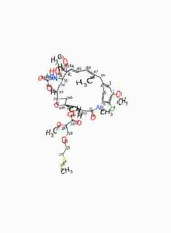 COc1cc2cc(c1Cl)N(C)C(=O)C[C@H](OC(=O)C(COCCSSC)OC)[C@@]1(C)CC(O1)[C@@H]1C[C@@](O)(NC(=O)O1)[C@H](OC)/C=C/C=C(\C)C2